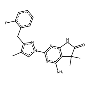 Cc1cn(-c2nc(N)c3c(n2)NC(=O)C3(C)C)nc1Cc1ccccc1F